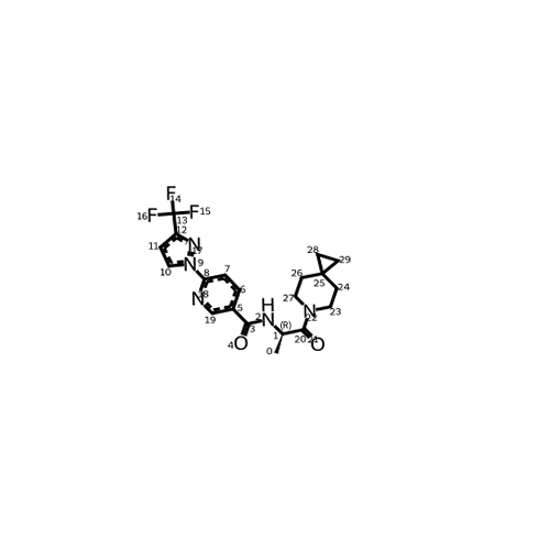 C[C@@H](NC(=O)c1ccc(-n2ccc(C(F)(F)F)n2)nc1)C(=O)N1CCC2(CC1)CC2